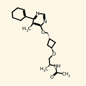 CC(=O)N[C@@H](C)CO[C@H]1C[C@H](COc2ncnc(C3=CCCCC3)c2C)C1